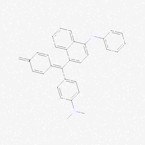 C=c1ccc(=C(c2ccc(N(C)C)cc2)c2ccc(Nc3ccccc3)c3ccccc23)cc1